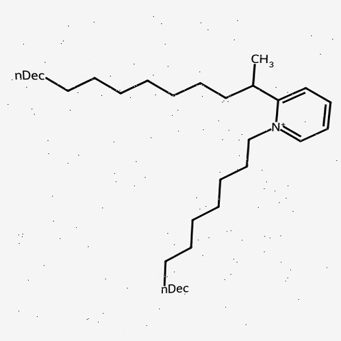 CCCCCCCCCCCCCCCCCC(C)c1cccc[n+]1CCCCCCCCCCCCCCCCC